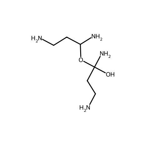 NCCC(N)OC(N)(O)CCN